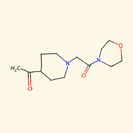 CC(=O)C1CCN(CC(=O)N2CCOCC2)CC1